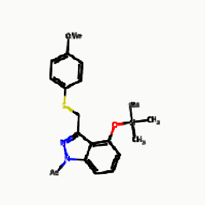 COc1ccc(SCc2nn(C(C)=O)c3cccc(O[Si](C)(C)C(C)(C)C)c23)cc1